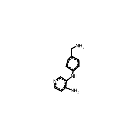 NCc1ccc(Nc2cnccc2N)cc1